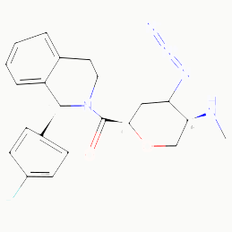 CN[C@H]1CO[C@@H](C(=O)N2CCc3ccccc3[C@@H]2c2ccc(F)cc2)CC1N=[N+]=[N-]